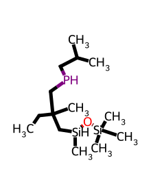 CCC(C)(CPCC(C)C)C[SiH](C)O[Si](C)(C)C